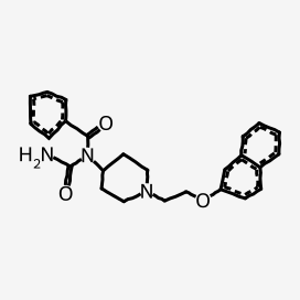 NC(=O)N(C(=O)c1ccccc1)C1CCN(CCOc2ccc3ccccc3c2)CC1